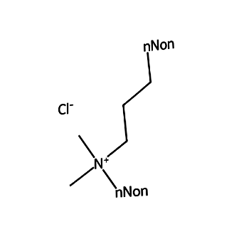 CCCCCCCCCCCC[N+](C)(C)CCCCCCCCC.[Cl-]